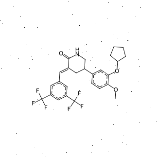 COc1ccc(C2CNC(=O)C(=Cc3cc(C(F)(F)F)cc(C(F)(F)F)c3)C2)cc1OC1CCCC1